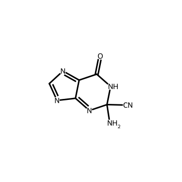 N#CC1(N)N=C2N=CN=C2C(=O)N1